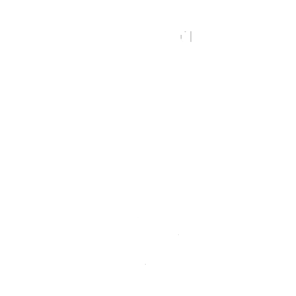 Cc1cc([CH]C2CC2)c(C)cc1Cl